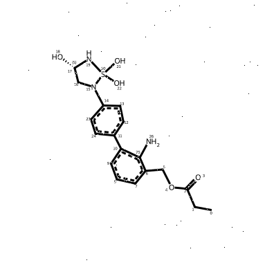 CCC(=O)OCc1cccc(-c2ccc(N3C[C@H](O)NS3(O)O)cc2)c1N